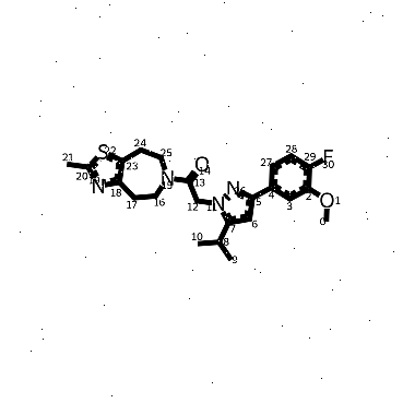 COc1cc(-c2cc(C(C)C)n(CC(=O)N3CCc4nc(C)sc4CC3)n2)ccc1F